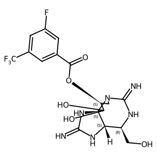 N=C1N[C@H]2[C@H](CO)NC(=N)N3C[C@H](OC(=O)c4cc(F)cc(C(F)(F)F)c4)C(O)(O)[C@]23N1